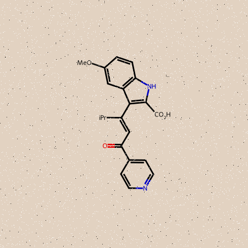 COc1ccc2[nH]c(C(=O)O)c(/C(=C/C(=O)c3ccncc3)C(C)C)c2c1